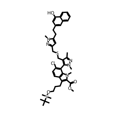 COC(=O)c1c(CCCO[Si](C)(C)C(C)(C)C)c2ccc(Cl)c(-c3c(CSCc4cc(CCc5cc(O)c6ccccc6c5)n(C)n4)c(C)nn3C)c2n1C